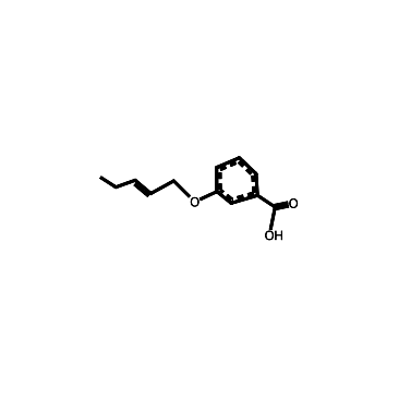 CCC=CCOc1cccc(C(=O)O)c1